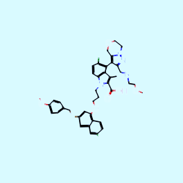 COCCNCc1nn2c(c1-c1c(Cl)ccc3c1c(C)c(C(=O)O)n3CCCOc1cc(SCc3ccc(OC)cc3)cc3cc(F)ccc13)COCC2